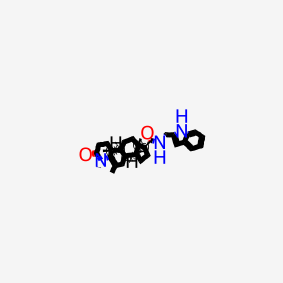 CC1=C2N(C)C(=O)CC[C@]2(C)[C@H]2CC[C@]3(C)[C@@H](C(=O)NCc4cc5ccccc5[nH]4)CC[C@H]3[C@@H]2C1